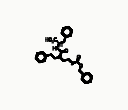 O=C(OCc1ccccc1)SCCN(CCc1ccccc1)C(=O)N[C@@H](Cc1ccccc1)C(=O)O